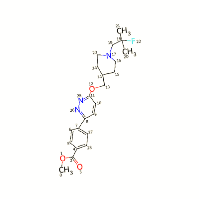 COC(=O)c1ccc(-c2ccc(OCC3CCN(CC(C)(C)F)CC3)nn2)cc1